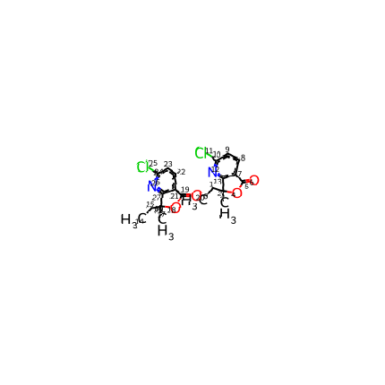 CCC1(C)OC(=O)c2ccc(Cl)nc21.CC[C@@]1(C)OC(=O)c2ccc(Cl)nc21